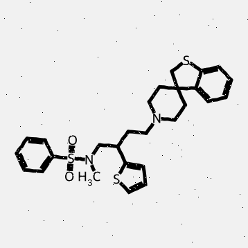 CN(CC(CCN1CCC2(CC1)CSc1ccccc12)c1cccs1)S(=O)(=O)c1ccccc1